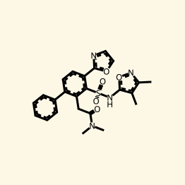 Cc1noc(NS(=O)(=O)c2c(-c3ncco3)ccc(-c3ccccc3)c2CC(=O)N(C)C)c1C